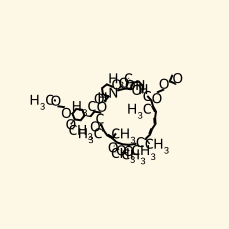 COCCO[C@@H]1CC[C@@H](C[C@@H](C)[C@@H]2CC(=O)[C@H](C)/C=C(\C)[C@@H](OC)[C@@H](OC)C(=O)[C@H](C)C[C@H](C)/C=C/C=C/C=C(\C)[C@@H](OCCOC3COC3)C[C@@H]3CC[C@@H](C)[C@@](O)(O3)C(=O)C(=O)N3CCCC[C@H]3C(=O)O2)C[C@H]1OC